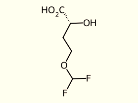 O=C(O)[C@H](O)CCOC(F)F